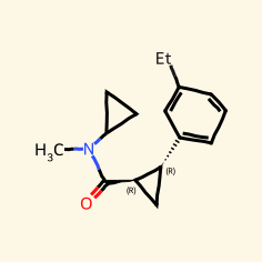 CCc1cccc([C@@H]2C[C@H]2C(=O)N(C)C2CC2)c1